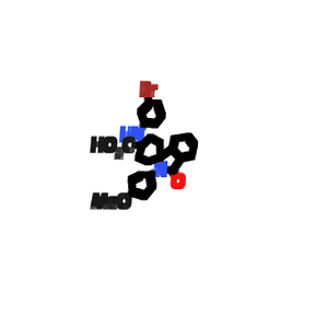 COc1ccc(N2C(=O)c3ccccc3C23CCC(Nc2cccc(Br)c2)(C(=O)O)CC3)cc1